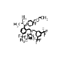 CCOCC1(F)CCN([C@H](c2ccc(C(F)(F)F)cc2CN(Cc2cc(C(F)(F)F)cc(C(F)(F)F)c2)c2nnn(C)n2)C(C)C)CC1